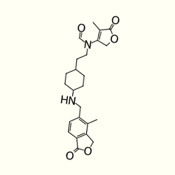 CC1=C(N(C=O)CCC2CCC(NCc3ccc4c(c3C)COC4=O)CC2)COC1=O